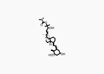 C=C1/C(=C\C=C2/CCC[C@]3(C)[C@@H]([C@H](C)/C=C/[C@@H](O)C(C)(C)OC(=O)N(C)C)CC[C@@H]23)C[C@@H](O)C[C@@H]1O